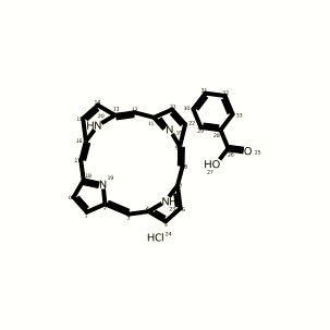 C1=Cc2cc3ccc(cc4nc(cc5ccc(cc1n2)[nH]5)C=C4)[nH]3.Cl.O=C(O)c1ccccc1